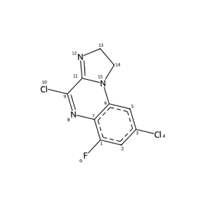 Fc1cc(Cl)cc2c1N=C(Cl)C1=NCCN12